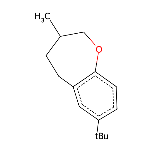 CC1CCc2cc(C(C)(C)C)ccc2OC1